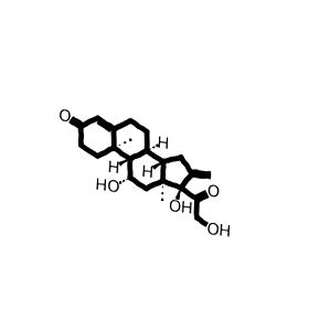 C=C1C[C@H]2[C@@H]3CCC4=CC(=O)CC[C@]4(C)[C@H]3[C@@H](O)C[C@]2(C)[C@@]1(O)C(=O)CO